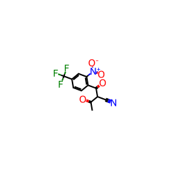 CC(=O)C(C#N)C(=O)c1ccc(C(F)(F)F)cc1[N+](=O)[O-]